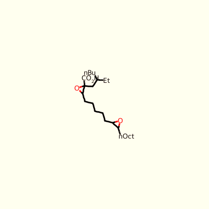 CCCCCCCCC1OC1CCCCCC1OC1(CC(CC)CCCC)C(=O)O